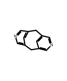 c1ncc2cc1Cc1cncc(c1)C2